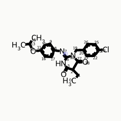 CCC1C(=O)N/C(=N\c2ccc(OC(C)C)cc2)N(Cc2ccc(Cl)cc2)C1=O